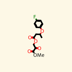 COC(=O)C(=O)COC(=O)CC(C)Oc1ccc(F)cc1